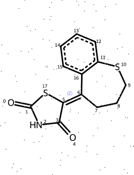 O=C1NC(=O)/C(=C2\CCCSc3ccccc32)S1